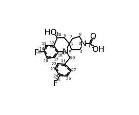 O=C(O)N1CCC2(CC1)CC(O)c1cc(F)ccc1N2Cc1ccc(F)cc1